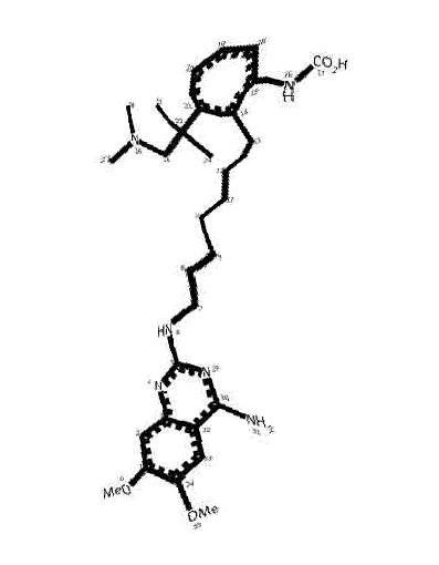 COc1cc2nc(NCCCCCCCc3c(NC(=O)O)cccc3C(C)(C)CN(C)C)nc(N)c2cc1OC